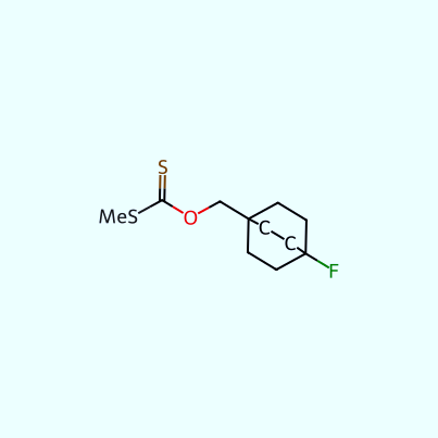 CSC(=S)OCC12CCC(F)(CC1)CC2